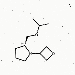 CC(C)OC[C@@H]1CCCN1C1COC1